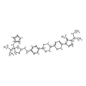 C=C1N(C2=CC=C(N3CCN(c4ccc(OCC5COC(Cn6nccn6)(C(C)C)O5)cc4)CC3)CC2)C=NN1C(C)CC